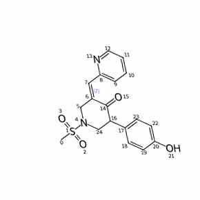 CS(=O)(=O)N1C/C(=C/c2ccccn2)C(=O)C(c2ccc(O)cc2)C1